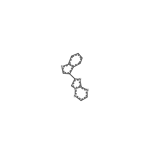 c1ccc2c(-c3cn4nccnc4n3)csc2c1